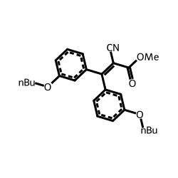 CCCCOc1cccc(C(=C(C#N)C(=O)OC)c2cccc(OCCCC)c2)c1